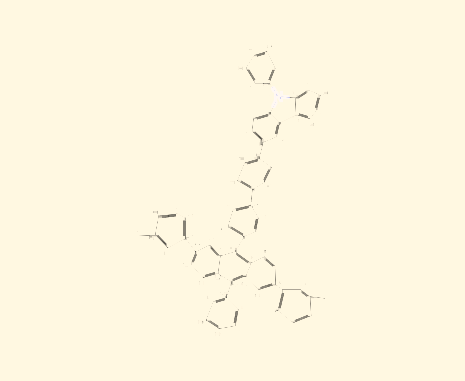 Cc1cccc(-c2ccc3c(-c4ccc(-c5ccc(-c6ccc7c(c6)c6ccccc6n7-c6ccccc6)cc5)cc4)c4cc(-c5cccc(C)c5)ccc4c(-c4ccccc4)c3c2)c1